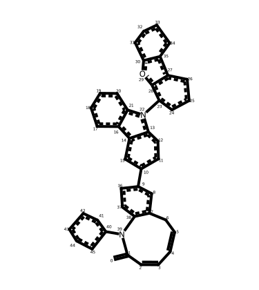 C=C1/C=C\C=C/Cc2cc(-c3ccc4c(c3)c3ccccc3n4-c3cccc4c3oc3ccccc34)ccc2N1c1ccccc1